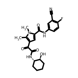 Cc1c(C(=O)C(=O)N[C@H]2CCCC[C@@H]2O)cc(C(=O)Nc2ccc(F)c(C#N)c2)n1C